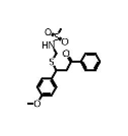 COc1ccc(C(CC(=O)c2ccccc2)SCNS(C)(=O)=O)cc1